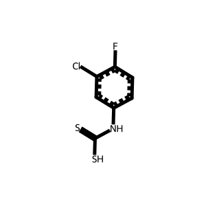 Fc1ccc(NC(=S)S)cc1Cl